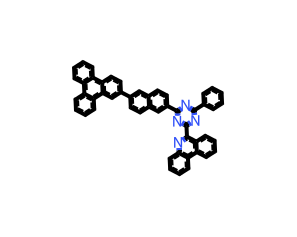 c1ccc(-c2nc(-c3ccc4cc(-c5ccc6c7ccccc7c7ccccc7c6c5)ccc4c3)nc(-c3nc4ccccc4c4ccccc34)n2)cc1